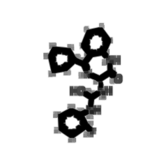 O=C1Nc2ccccc2C(c2ccccc2)=N[C@@H]1NC(O)Nc1ccccc1F